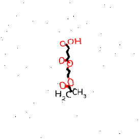 C=C(C)C(=O)OCCCOC(=O)CCCC(=O)O